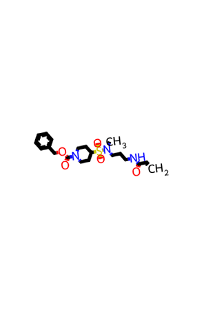 C=CC(=O)NCCCN(C)S(=O)(=O)C1CCN(C(=O)OCc2ccccc2)CC1